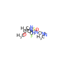 COc1cccc(C(C)(C)c2cnc(SCC(=O)Nc3ccc(-n4ccnc4C)cc3)n2-c2ccc(F)cc2)c1